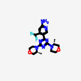 C[C@@H]1COCCN1c1nc(-c2cnc(N)cc2C(F)F)nc(N2CCOC[C@H]2C)n1